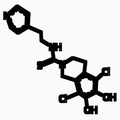 Oc1c(O)c(Cl)c2c(c1Cl)CCN(C(=S)NCCc1ccncc1)C2